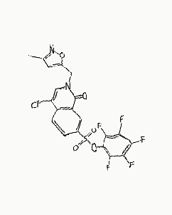 Cc1cc(Cn2cc(Cl)c3ccc(S(=O)(=O)Oc4c(F)c(F)c(F)c(F)c4F)cc3c2=O)on1